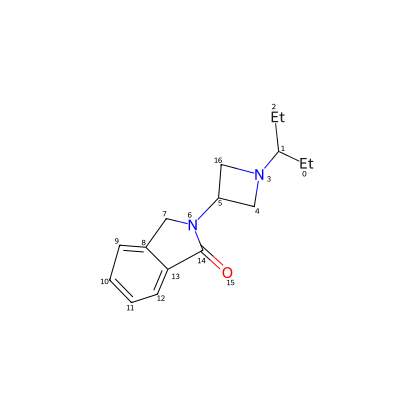 CCC(CC)N1CC(N2Cc3ccccc3C2=O)C1